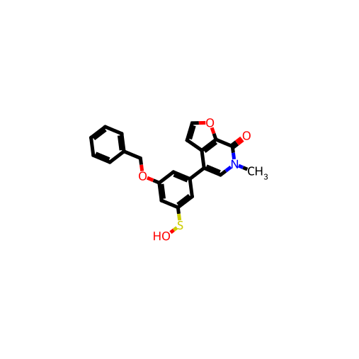 Cn1cc(-c2cc(OCc3ccccc3)cc(SO)c2)c2ccoc2c1=O